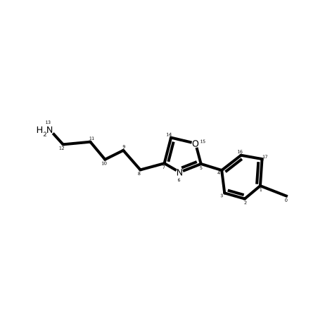 Cc1ccc(-c2nc(CCCCCN)co2)cc1